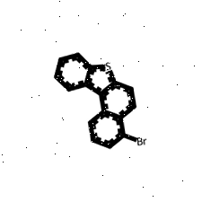 Brc1cccc2c1ccc1sc3ccccc3c12